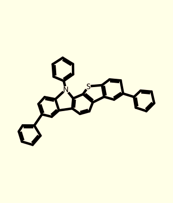 c1ccc(-c2ccc3sc4c(ccc5c6cc(-c7ccccc7)ccc6n(-c6ccccc6)c54)c3c2)cc1